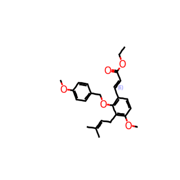 CCOC(=O)/C=C/c1ccc(OC)c(CC=C(C)C)c1OCc1ccc(OC)cc1